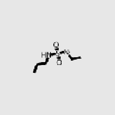 CCCNS(=O)(=O)[N]CC